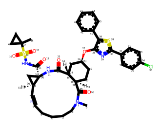 CN1CCCC/C=C\[C@H]2C[C@@]2(C(=O)NS(=O)(=O)C2(C)CC2)NC(=O)[C@@H]2C[C@@H](Oc3nc(-c4ccc(Cl)cc4)sc3-c3ccccc3)CC[C@H]2C1=O